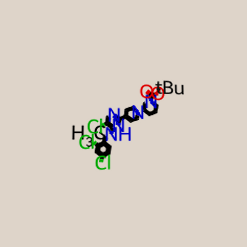 C[C@@H](Nc1nc(C2=CCN(C3CCCN(C(=O)OC(C)(C)C)C3)CC2)ncc1Cl)c1ccc(Cl)cc1Cl